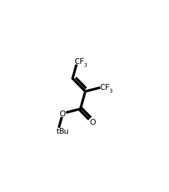 CC(C)(C)OC(=O)C(=CC(F)(F)F)C(F)(F)F